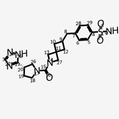 NS(=O)(=O)c1ccc(CC2CC3(C2)CN(C(=O)N2CC[C@H](c4ncn[nH]4)C2)C3)cc1